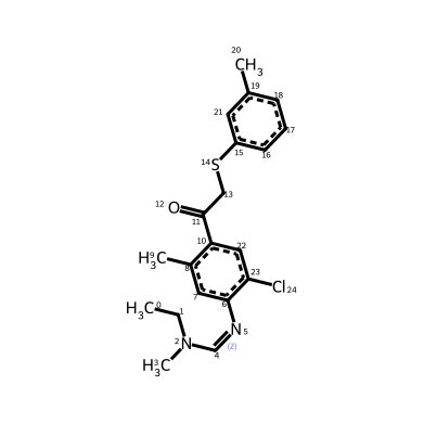 CCN(C)/C=N\c1cc(C)c(C(=O)CSc2cccc(C)c2)cc1Cl